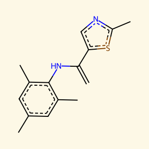 C=C(Nc1c(C)cc(C)cc1C)c1cnc(C)s1